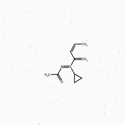 C=C(/C=C\C)/S(=N/C(C)=O)C1CC1